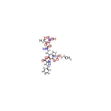 CCCOC(=O)C1CCCN1C(=O)C(CCCCNC(=O)OC(C)ON(O)O)NC(CCc1ccccc1)C(=O)O